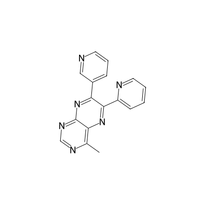 Cc1ncnc2nc(-c3cccnc3)c(-c3ccccn3)nc12